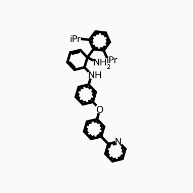 CC(C)c1cccc(C(C)C)c1C1(N)C=CC=CC1Nc1cccc(Oc2cccc(-c3ccccn3)c2)c1